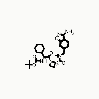 CC(C)(C)OC(=O)N[C@@H](C(=O)N1CC[C@H]1C(=O)NCc1ccc2c(N)noc2c1)C1CCCCC1